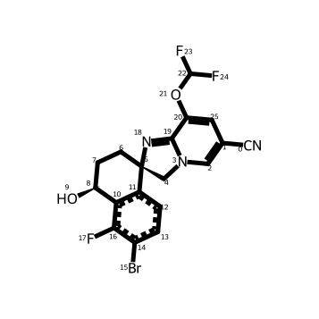 N#CC1=CN2C[C@@]3(CC[C@H](O)c4c3ccc(Br)c4F)N=C2C(OC(F)F)=C1